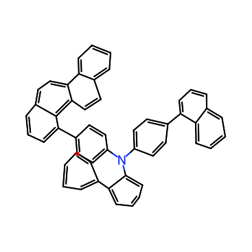 c1ccc(-c2ccccc2N(c2ccc(-c3cccc4ccccc34)cc2)c2ccc(-c3cccc4ccc5c6ccccc6ccc5c34)cc2)cc1